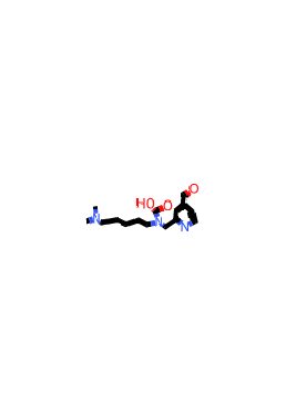 CN(C)CCCCCN(Cc1cc(C=O)ccn1)C(=O)O